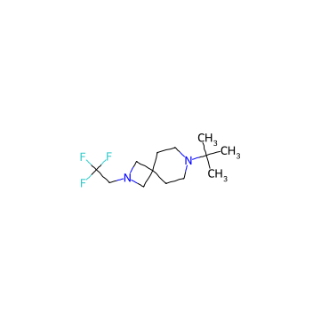 CC(C)(C)N1CCC2(CC1)CN(CC(F)(F)F)C2